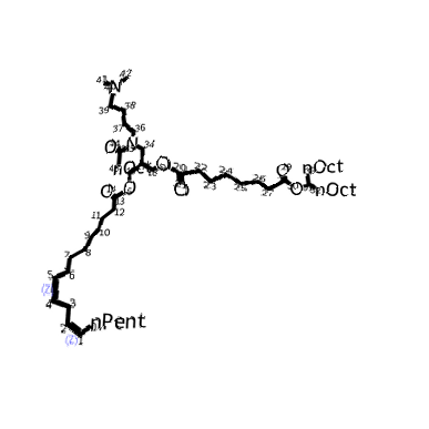 CCCCC/C=C\C/C=C\CCCCCCCC(=O)OCC(COC(=O)CCCCCCC(=O)OC(CCCCCCCC)CCCCCCCC)CN(CCCCN(C)C)C(=O)CCCCCCCC